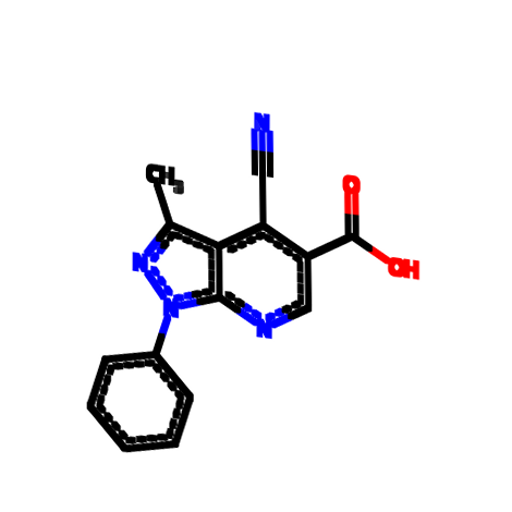 Cc1nn(-c2ccccc2)c2ncc(C(=O)O)c(C#N)c12